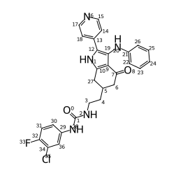 O=C(NCCC1CC(=O)c2c([nH]c(-c3ccncc3)c2Nc2ccccc2)C1)Nc1ccc(F)c(Cl)c1